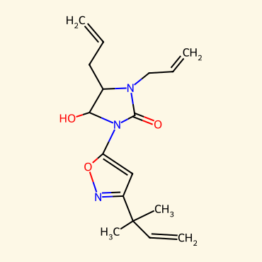 C=CCC1C(O)N(c2cc(C(C)(C)C=C)no2)C(=O)N1CC=C